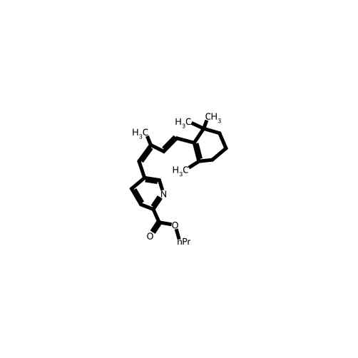 CCCOC(=O)c1ccc(C=C(C)C=CC2=C(C)CCCC2(C)C)cn1